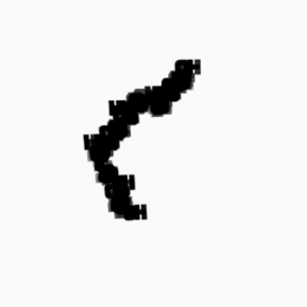 O=C(Nc1ccc(Cc2ccc(NC(=O)Oc3cccc(OC(=O)Nc4ccc(Cc5ccccc5NC(=O)Oc5cccc(O)c5)cc4)c3)cc2)cc1)Oc1cccc(O)c1